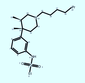 CCS(=O)(=O)Nc1cccc([C@@]2(C)CCN(CCCCC(C)C)C[C@@H]2C)c1